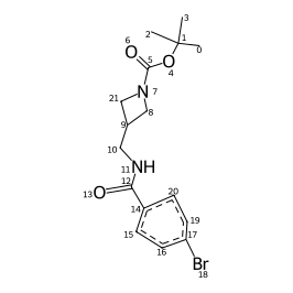 CC(C)(C)OC(=O)N1CC(CNC(=O)c2ccc(Br)cc2)C1